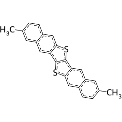 Cc1ccc2cc3sc4c5cc6cc(C)ccc6cc5sc4c3cc2c1